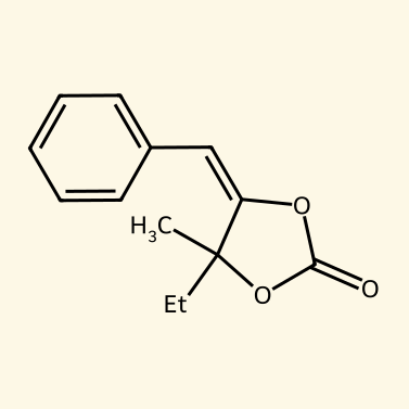 CCC1(C)OC(=O)OC1=Cc1ccccc1